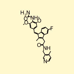 COc1cc(/C=C2/C(C)=C(CC(=O)NCc3cnccc3C)c3cc(F)ccc32)cc(OC)c1NC(N)=O